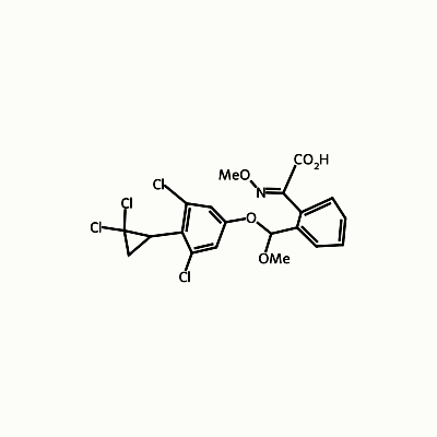 CON=C(C(=O)O)c1ccccc1C(OC)Oc1cc(Cl)c(C2CC2(Cl)Cl)c(Cl)c1